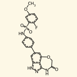 COc1ccc(F)c(S(=O)(=O)Nc2ccc(-c3cc4c5c(n[nH]c5c3)NC(=O)CO4)cc2)c1